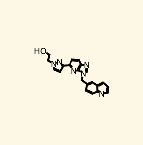 OCCn1ccc(-c2ccc3ncn(Cc4ccc5ncccc5c4)c3n2)n1